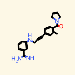 Cc1cc(C#CCNc2cccc(C(=N)N)c2)ccc1C(=O)N1CC=CC1